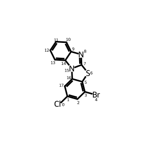 Clc1cc(Br)c2sc3nc4ccccc4n3c2c1